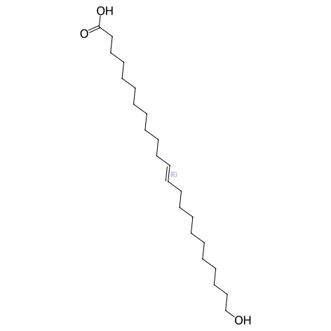 O=C(O)CCCCCCCCCC/C=C/CCCCCCCCCCO